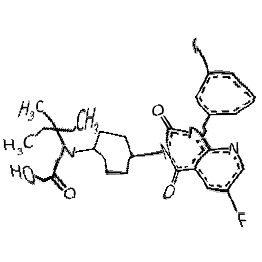 CC(C)(C)N(C(=O)O)C1CCC(n2c(=O)c3cc(F)cnc3n(-c3cccc(I)c3)c2=O)CC1